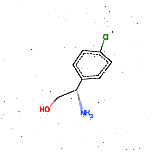 N[C@H](CO)c1ccc(Cl)cc1